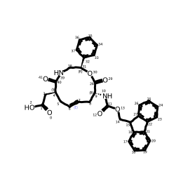 O=C(O)C[C@@H]1C/C=C/C[C@@H](NC(=O)OCC2c3ccccc3-c3ccccc32)C(=O)O[C@H](c2ccccc2)CNC1=O